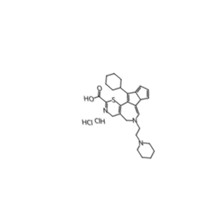 Cl.Cl.O=C(O)C1=NCC2=C(S1)C1=C(C3CCCCC3)C3=CC=CC3C1=CN(CCN1CCCCC1)C2